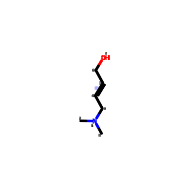 CN(C)C/C=C/CO